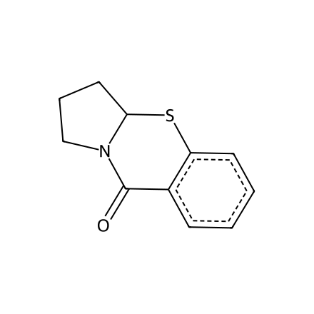 O=C1c2ccccc2SC2CCCN12